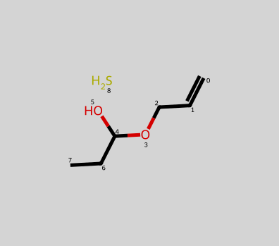 C=CCOC(O)CC.S